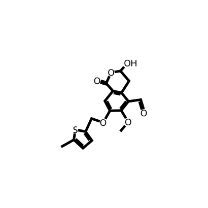 COc1c(OCc2ccc(C)s2)cc2c(c1C=O)CC(O)OC2=O